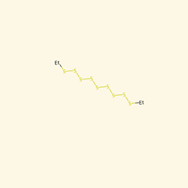 CCSSSSSSSSSCC